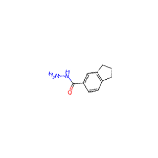 NNC(=O)c1ccc2c(c1)CCC2